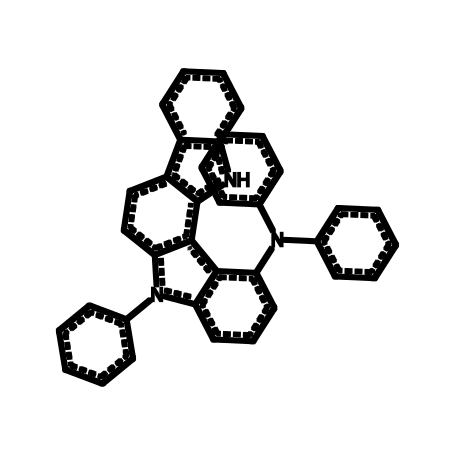 c1ccc(N(c2ccccc2)c2cccc3c2c2c4[nH]c5ccccc5c4ccc2n3-c2ccccc2)cc1